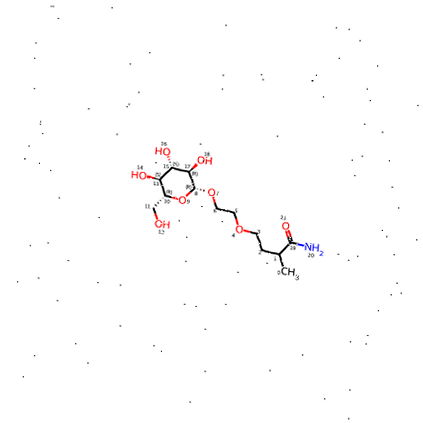 CC(CCOCCO[C@@H]1O[C@H](CO)[C@@H](O)[C@H](O)[C@H]1O)C(N)=O